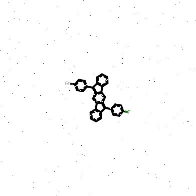 CCc1ccc(C2=c3cc4c(cc3-c3ccccc32)=C(c2ccc(F)cc2)c2ccccc2-4)cc1